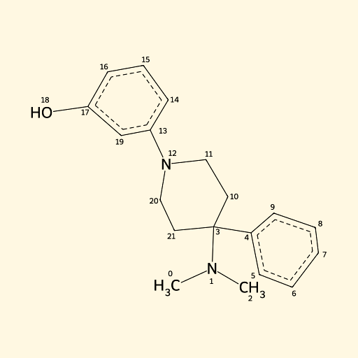 CN(C)C1(c2ccccc2)CCN(c2cccc(O)c2)CC1